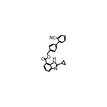 N#Cc1ccccc1-c1ccc(COC(=O)c2cccc3nc(C4CC4)[nH]c23)cc1